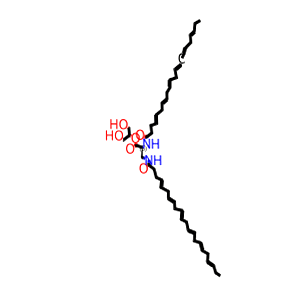 CCC=CCC=CCC=CCC=CCC=CCC=CCCC(=O)NC[C@H](NC(=O)CCC=CCC=CCC=CCC=CCC=CCC=CCC)C(=O)OC(CO)CO